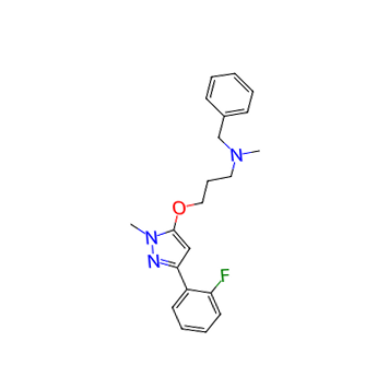 CN(CCCOc1cc(-c2ccccc2F)nn1C)Cc1ccccc1